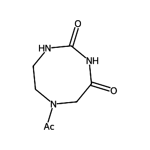 CC(=O)N1CCNC(=O)NC(=O)C1